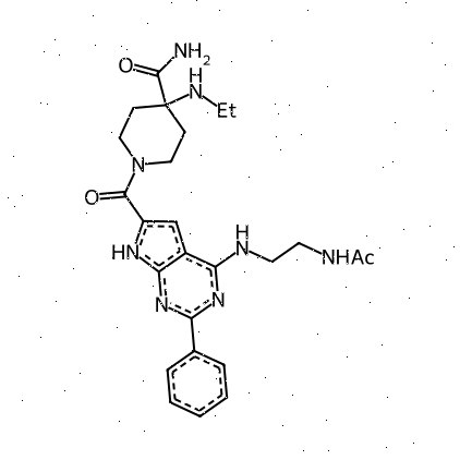 CCNC1(C(N)=O)CCN(C(=O)c2cc3c(NCCNC(C)=O)nc(-c4ccccc4)nc3[nH]2)CC1